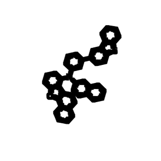 c1cc(-c2ccc3sc4ccccc4c3c2)cc(N(c2ccc3ccccc3c2)c2cccc3oc4c5ccccc5ccc4c23)c1